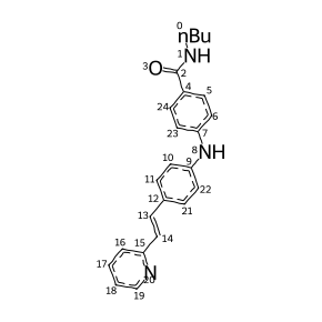 CCCCNC(=O)c1ccc(Nc2ccc(/C=C/c3ccccn3)cc2)cc1